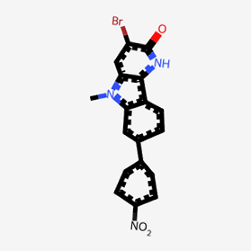 Cn1c2cc(-c3ccc([N+](=O)[O-])cc3)ccc2c2[nH]c(=O)c(Br)cc21